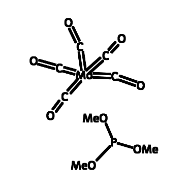 COP(OC)OC.O=[C]=[Mo](=[C]=O)(=[C]=O)(=[C]=O)=[C]=O